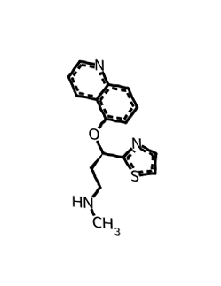 CNCC[C@@H](Oc1cccc2ncccc12)c1nccs1